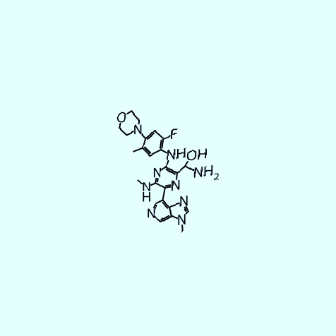 CNc1nc(Nc2cc(C)c(N3CCOCC3)cc2F)c(C(N)O)nc1-c1cncc2c1ncn2C